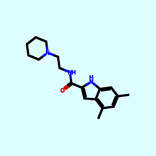 Cc1cc(C)c2cc(C(=O)NCCN3CCCCC3)[nH]c2c1